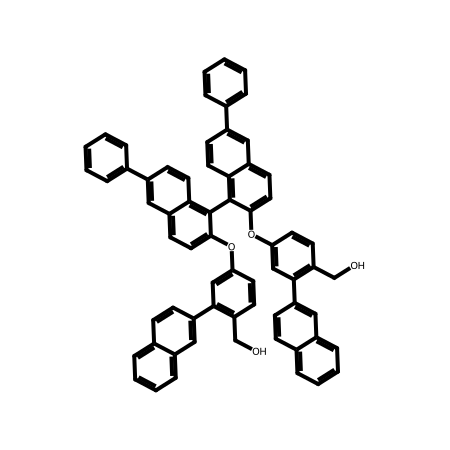 OCc1ccc(Oc2ccc3cc(-c4ccccc4)ccc3c2-c2c(Oc3ccc(CO)c(-c4ccc5ccccc5c4)c3)ccc3cc(-c4ccccc4)ccc23)cc1-c1ccc2ccccc2c1